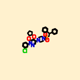 O=c1c(OC2CCCC2)c(N2CCN(S(=O)(=O)CC(c3ccccc3)c3ccccc3)CC2)cnn1-c1cccc(Cl)c1